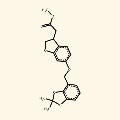 COC(=O)CC1COc2cc(OCc3cccc4c3OC(C)(C)O4)ccc21